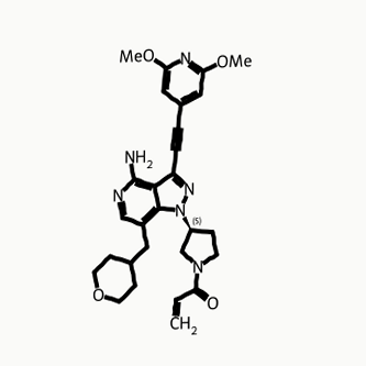 C=CC(=O)N1CC[C@H](n2nc(C#Cc3cc(OC)nc(OC)c3)c3c(N)ncc(CC4CCOCC4)c32)C1